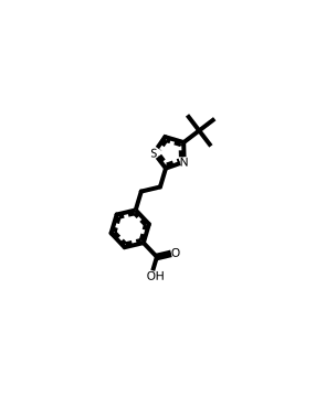 CC(C)(C)c1csc(CCc2cccc(C(=O)O)c2)n1